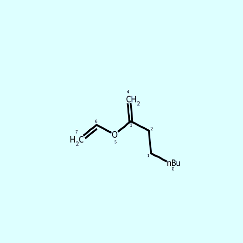 [CH2]CCCCCC(=C)OC=C